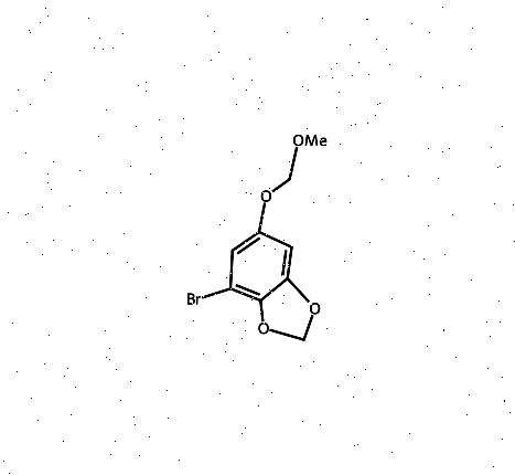 COCOc1cc(Br)c2c(c1)OCO2